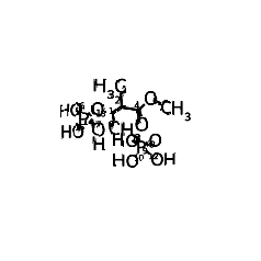 CCC(C)C(=O)OC.O=P(O)(O)O.O=P(O)(O)O